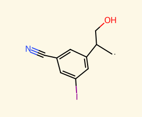 [CH2]C(CO)c1cc(I)cc(C#N)c1